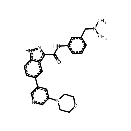 CN(C)Cc1cccc(NC(=O)c2n[nH]c3ccc(-c4cncc(N5CCOCC5)c4)cc23)c1